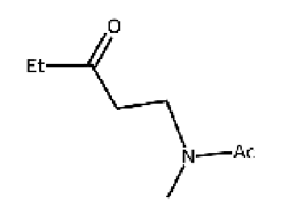 CCC(=O)CCN(C)C(C)=O